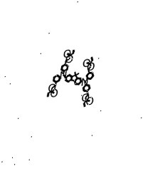 C=CC(=O)OCc1ccc(N(c2cccc(COC(=O)C=C)c2)c2ccc3c(c2)C(C)(C)c2cc(N(c4ccc(COC(=O)C=C)cc4)c4cccc(COC(=O)C=C)c4)ccc2-3)cc1